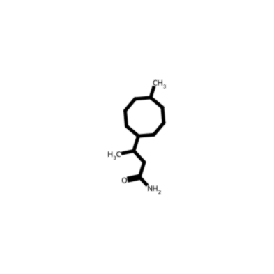 CC1CCCC(C(C)CC(N)=O)CCC1